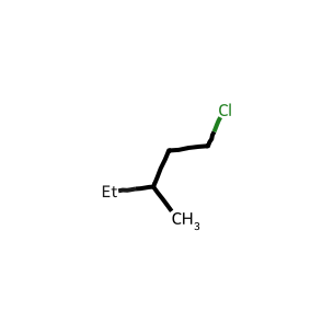 CC[C](C)CCCl